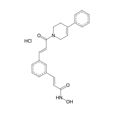 Cl.O=C(C=Cc1cccc(C=CC(=O)N2CC=C(c3ccccc3)CC2)c1)NO